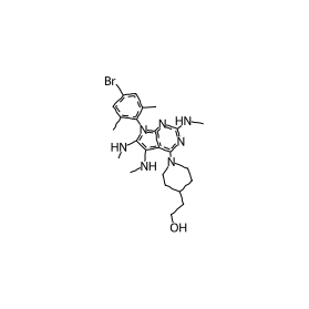 CNc1nc(N2CCC(CCO)CC2)c2c(NC)c(NC)n(-c3c(C)cc(Br)cc3C)c2n1